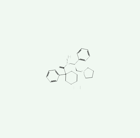 CN(C(=O)C1(c2ccccc2)CCCCC1)[C@H](CN1CCCC1)c1ccccc1.Cl